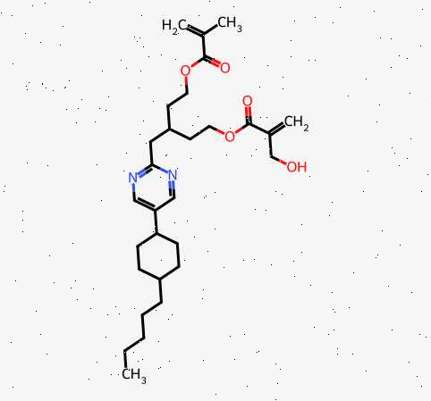 C=C(C)C(=O)OCCC(CCOC(=O)C(=C)CO)Cc1ncc(C2CCC(CCCCC)CC2)cn1